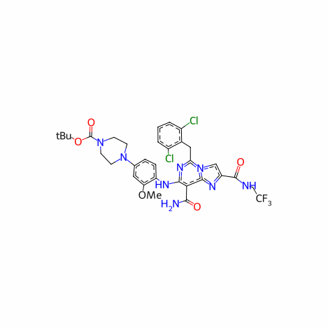 COc1cc(N2CCN(C(=O)OC(C)(C)C)CC2)ccc1Nc1nc(Cc2c(Cl)cccc2Cl)n2cc(C(=O)NCC(F)(F)F)nc2c1C(N)=O